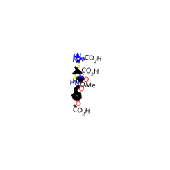 CO[C@@]1(NC(=O)Cc2ccc(OCC(=O)O)cc2)C(=O)N2C(C(=O)O)=C(CSc3nnnn3CC(=O)O)CS[C@H]21